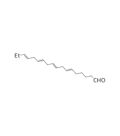 CCC=CCC=CCC=CCC=CCCCCC=O